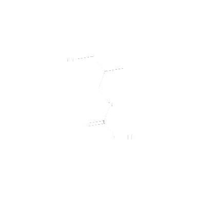 CC(C)CC(C)CNC(=O)C(=O)O